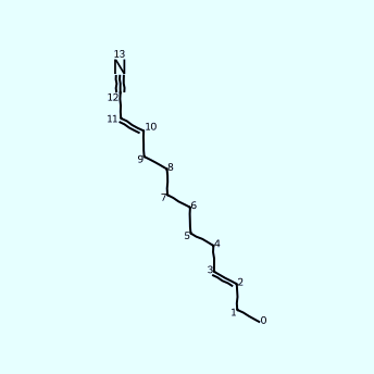 CCC=CCCCCCCC=CC#N